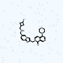 O=c1c2cncc(N3CCOCC3)c2ccn1Cc1cn2cc(CNCC3CC(F)C3)ccc2n1